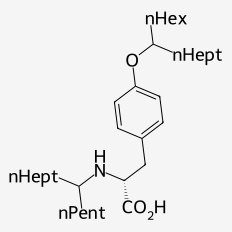 CCCCCCCC(CCCCC)N[C@H](Cc1ccc(OC(CCCCCC)CCCCCCC)cc1)C(=O)O